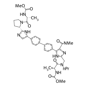 CCCN(Cc1nc(C(=O)NC)c(-c2ccc(-c3ccc(-c4cnc([C@@H]5CCCN5C(=O)[C@@H](C)NC(=O)OC)[nH]4)cc3)cc2)[nH]1)C(=O)[C@H](C)NC(=O)OC